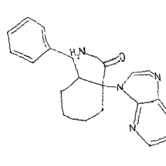 NC(=O)C1(n2cnc3cccnc32)CCCCC1Cc1ccccc1